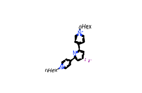 CCCCCC[n+]1ccc(-c2cccc(-c3cc[n+](CCCCCC)cc3)n2)cc1.[I-].[I-]